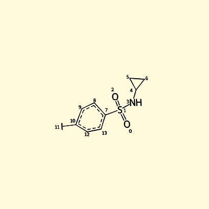 O=S(=O)(NC1CC1)c1ccc(I)cc1